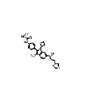 CC(C)NC(=O)Nc1ccc(-c2c(C#N)c3ccc([S+]([O-])CCn4cncn4)cc3n2C2CCC2)cc1